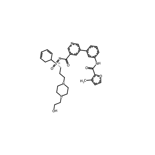 Cc1ccoc1C(=O)Nc1cccc(-c2cncc(C(=O)N=[S@](=O)(CCCN3CCN(CCO)CC3)C3C=CC=CC3)c2)c1